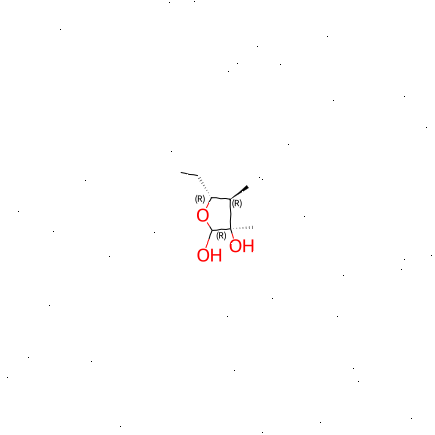 CC[C@H]1OC(O)[C@](C)(O)[C@@H]1C